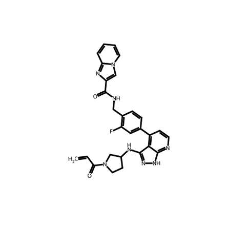 C=CC(=O)N1CCC(Nc2n[nH]c3nccc(-c4ccc(CNC(=O)c5cn6ccccc6n5)c(F)c4)c23)C1